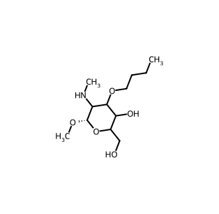 CCCCOC1C(O)C(CO)O[C@H](OC)C1NC